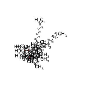 CCCCCCCCCCCCCC(c1cc(C(C)(C)C)[c]cc1C)(c1cc(C(C)(C)C)[c]cc1C)C(CCCCCCCCCCCCC)(c1c(C(C)(C)C)cc(C)cc1C(C)(C)C)C(C)c1c(C(C)(C)C)cc(C)cc1C(C)(C)C